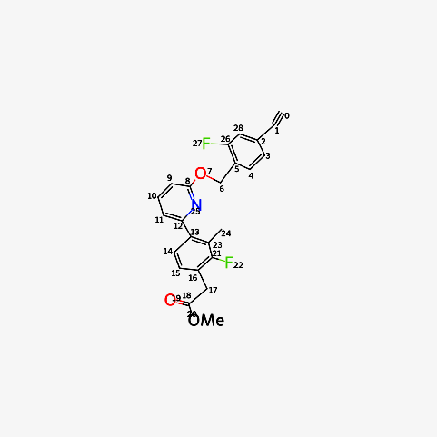 C#Cc1ccc(COc2cccc(-c3ccc(CC(=O)OC)c(F)c3C)n2)c(F)c1